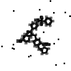 COc1cc(Cc2c(-c3ccc(NS(=O)(=O)c4ccccc4)cc3)sc3cc(O)ccc23)ccc1CN1CCCC1